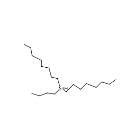 CCCCCCC[CH2][SnH]([CH2]CCC)[CH2]CCCCCCC